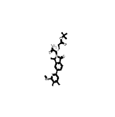 CNc1nc(-c2ccc3c(c2)C(C)N([C@@H](CCC(=O)OC(C)(C)C)C(N)=O)C3=O)cc(C)c1C